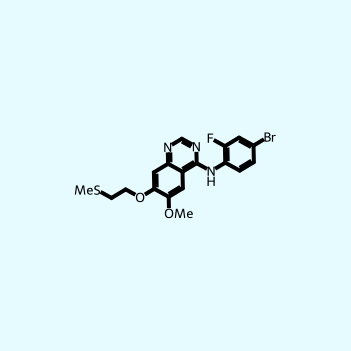 COc1cc2c(Nc3ccc(Br)cc3F)ncnc2cc1OCCSC